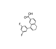 O=C(O)c1ccc2c(c1)C(c1cc(F)cc(F)c1)=CCC2